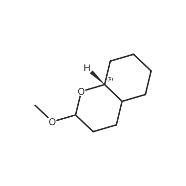 COC1CCC2CCCC[C@H]2O1